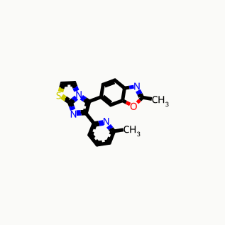 CC1=NC2C=CC(c3c(-c4cccc(C)n4)nc4sccn34)=CC2O1